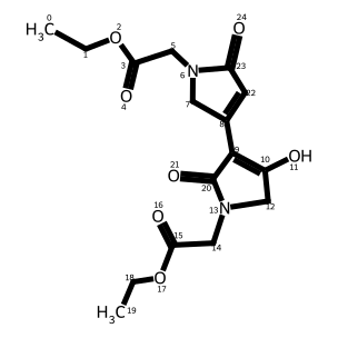 CCOC(=O)CN1CC(C2=C(O)CN(CC(=O)OCC)C2=O)=CC1=O